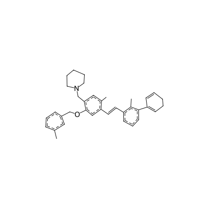 Cc1cccc(COc2cc(/C=C/c3cccc(C4=CCCC=C4)c3C)c(C)cc2CN2CCCCC2)c1